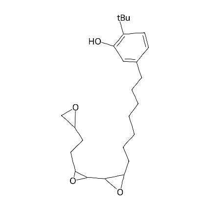 CC(C)(C)c1ccc(CCCCCCCC2OC2C2OC2CCC2CO2)cc1O